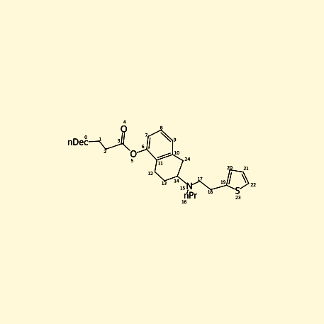 CCCCCCCCCCCCC(=O)Oc1cccc2c1CCC(N(CCC)CCc1cccs1)C2